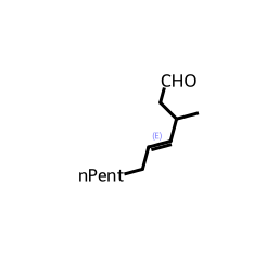 CCCCCC/C=C/C(C)CC=O